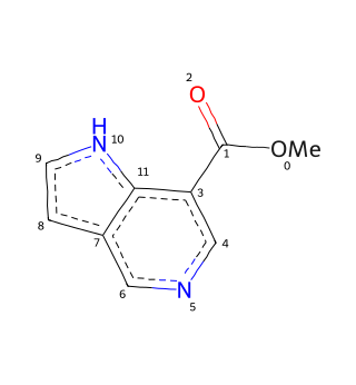 COC(=O)c1cncc2cc[nH]c12